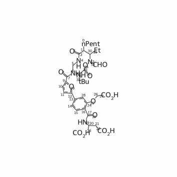 CCCCCC(C(=O)NCNC(=O)c1ccc(-c2ccc(C(=O)NC(CC(=O)O)C(=O)O)c(OCC(=O)O)c2)o1)C(CC)N(C=O)OC(=O)NC(C)(C)C